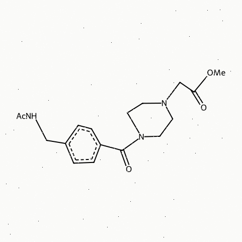 COC(=O)CN1CCN(C(=O)c2ccc(CNC(C)=O)cc2)CC1